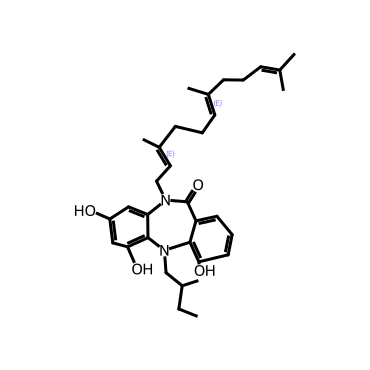 CCC(C)CN1c2c(O)cccc2C(=O)N(C/C=C(\C)CC/C=C(\C)CCC=C(C)C)c2cc(O)cc(O)c21